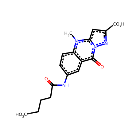 Cn1c2ccc(NC(=O)CCCC(=O)O)cc2c(=O)n2nc(C(=O)O)cc12